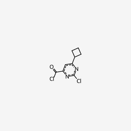 O=C(Cl)c1cc(C2CCC2)nc(Cl)n1